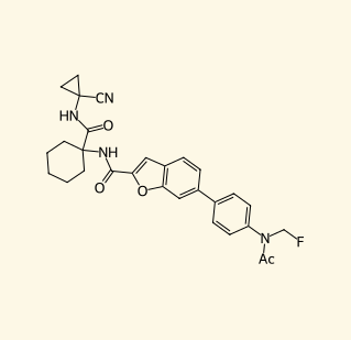 CC(=O)N(CF)c1ccc(-c2ccc3cc(C(=O)NC4(C(=O)NC5(C#N)CC5)CCCCC4)oc3c2)cc1